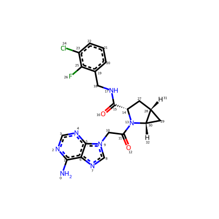 Nc1ncnc2c1ncn2CC(=O)N1[C@H](C(=O)NCc2cccc(Cl)c2F)C[C@@H]2C[C@@H]21